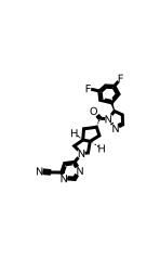 N#Cc1cc(N2C[C@H]3C[C@H](C(=O)N4N=CC[C@@H]4c4cc(F)cc(F)c4)C[C@H]3C2)ncn1